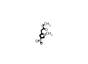 COC(=O)Cc1cc([N+](=O)[O-])cn1C